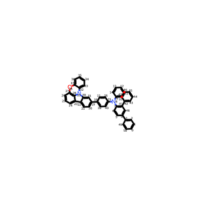 c1ccc(-c2ccc(N(c3ccccc3)c3ccc(-c4ccc5c6cccc7c6n(c5c4)-c4ccccc4O7)cc3)c(-c3ccccc3)c2)cc1